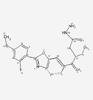 C=C(c1ccc2nc(-c3ccc(OC)cc3F)oc2c1)C(CC)CC(=O)NN